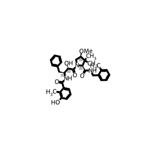 CO[C@@H]1CN(C(=O)[C@@H](O)[C@H](Cc2ccccc2)NC(=O)c2cccc(O)c2C)[C@H](C(=O)NCc2ccccc2C)C1(C)C